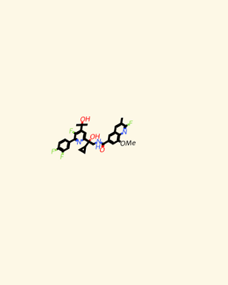 COc1cc(C(=O)NCC(O)(c2cc(C(C)(C)O)c(F)c(-c3ccc(F)c(F)c3)n2)C2CC2)cc2cc(C)c(F)nc12